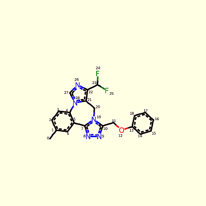 Cc1ccc2c(c1)-c1nnc(COc3ccccc3)n1Cc1c(C(F)F)ncn1-2